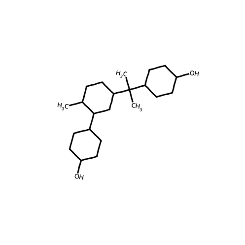 CC1CCC(C(C)(C)C2CCC(O)CC2)CC1C1CCC(O)CC1